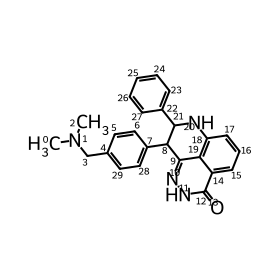 CN(C)Cc1ccc(C2c3n[nH]c(=O)c4cccc(c34)NC2c2ccccc2)cc1